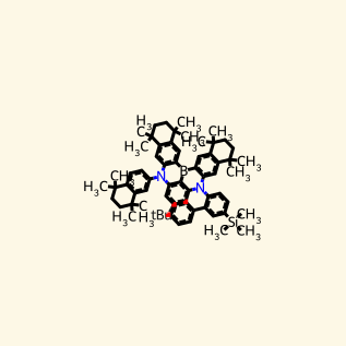 CC(C)(C)c1cc2c3c(c1)N(c1ccc([Si](C)(C)C)cc1-c1ccccc1)c1cc4c(cc1B3c1cc3c(cc1N2c1ccc2c(c1)C(C)(C)CCC2(C)C)C(C)(C)CCC3(C)C)C(C)(C)CCC4(C)C